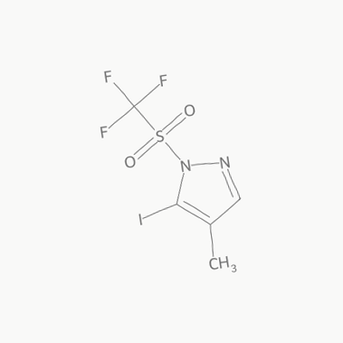 Cc1cnn(S(=O)(=O)C(F)(F)F)c1I